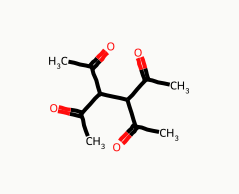 CC(=O)[C](C(C)=O)C(C(C)=O)C(C)=O